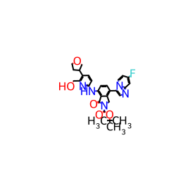 CC(C)(C)OC(=O)N1Cc2c(-c3cnc4cc(F)ccn34)ccc(Nc3ccc(C4CCOC4)c(CO)n3)c2C1=O